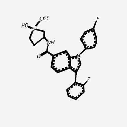 O=C(NC1CCS(O)(O)C1)c1ccc2c(-c3ccccc3F)cn(-c3ccc(F)cc3)c2c1